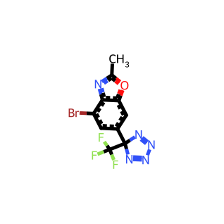 Cc1nc2c(Br)cc(C3(C(F)(F)F)N=NN=N3)cc2o1